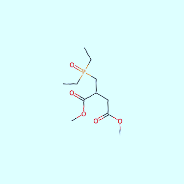 CCP(=O)(CC)CC(CC(=O)OC)C(=O)OC